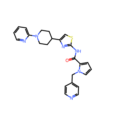 O=C(Nc1nc(C2CCN(c3ccccn3)CC2)cs1)c1cccn1Cc1ccncc1